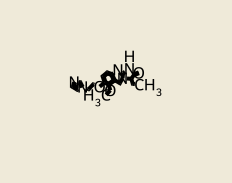 CCC1C(=O)NC2=Nc3ccc(OCCn4ccnc4)c(OC)c3CN21